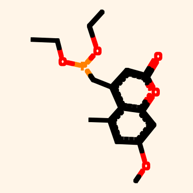 CCOP(Cc1cc(=O)oc2cc(OC)cc(C)c12)OCC